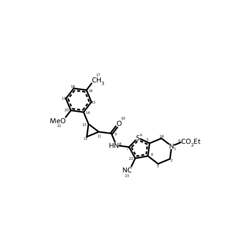 CCOC(=O)N1CCc2c(sc(NC(=O)C3CC3c3cc(C)ccc3OC)c2C#N)C1